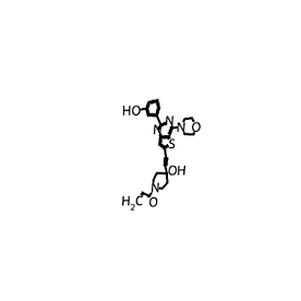 C=CC(=O)N1CCC(O)(C#Cc2cc3nc(-c4cccc(O)c4)nc(N4CCOCC4)c3s2)CC1